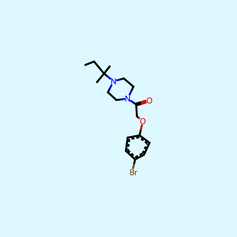 CCC(C)(C)N1CCN(C(=O)COc2ccc(Br)cc2)CC1